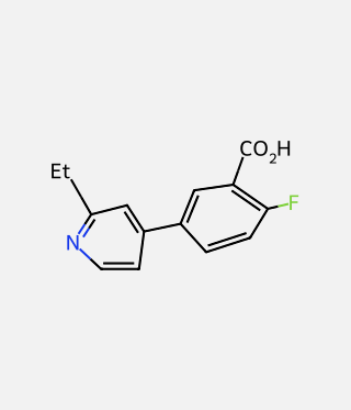 CCc1cc(-c2ccc(F)c(C(=O)O)c2)ccn1